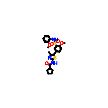 COc1ccccc1NS(=O)(=O)c1cc(-c2sc(NC(=O)C3CCCC3)nc2C)ccc1OC